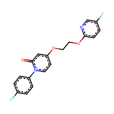 O=c1cc(OCCOc2ccc(F)cn2)ccn1-c1ccc(F)cc1